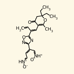 C=C/C(=C\C1=C(C)OC(CC)(CC)CC1=O)c1nc(C(/C=[NH+]\[O-])=C/C=[NH+]/[O-])no1